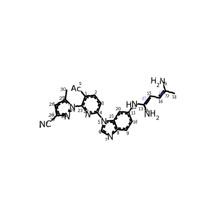 CC(=O)c1ccc(-n2cnc3ccc(N/C(N)=C/C=C(/C)N)cc32)nc1-n1nc(C#N)cc1C